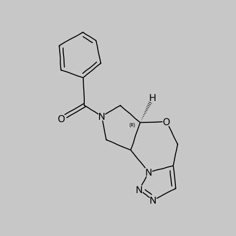 O=C(c1ccccc1)N1CC2[C@@H](C1)OCc1cnnn12